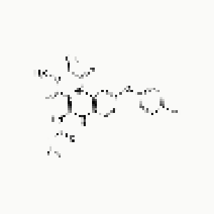 CCC(=O)Nc1cc(Oc2ccc(Cl)cc2)ccc1NC(=NC(=O)OC)NC(=O)OC